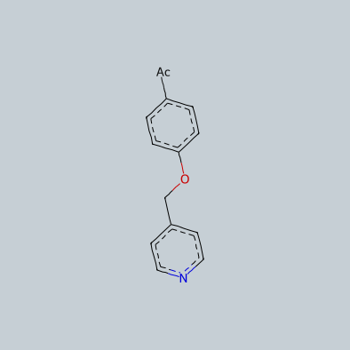 CC(=O)c1ccc(OCc2ccncc2)cc1